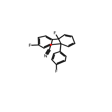 N#CCC1(c2ccc(F)cc2)C=CC=CC1(F)c1ccc(F)cc1